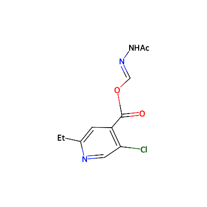 CCc1cc(C(=O)OC=NNC(C)=O)c(Cl)cn1